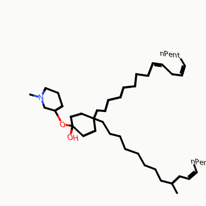 CCCCC/C=C\C/C=C\CCCCCCCCC1(CCCCCCCCC(C)C/C=C\CCCCC)CCC(O)(OC2CCCN(C)C2)CC1